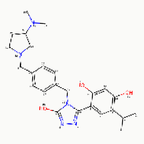 CC(C)c1cc(-c2nnc(O)n2Cc2ccc(CN3CCC(N(C)C)C3)cc2)c(O)cc1O